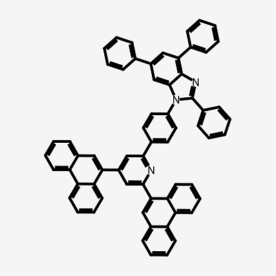 c1ccc(-c2cc(-c3ccccc3)c3nc(-c4ccccc4)n(-c4ccc(-c5cc(-c6cc7ccccc7c7ccccc67)cc(-c6cc7ccccc7c7ccccc67)n5)cc4)c3c2)cc1